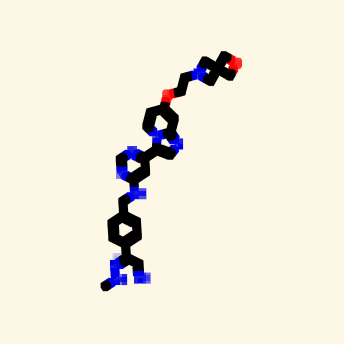 CN/N=C(\C=N)c1ccc(CNc2cc(-c3cnc4cc(OCCN5CC6(COC6)C5)ccn34)ncn2)cc1